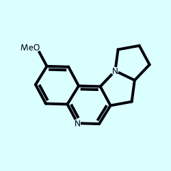 COc1ccc2ncc3c(c2c1)N1CCCC1C3